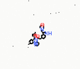 Cc1ccc(C(NC(=O)Cc2ccc3[nH]cc(CN4CCOCC4)c3c2)c2ccc(C)o2)c(N2CCCCC2)c1